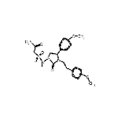 COc1ccc(CCN2C(=O)N(NS(=O)(=O)CC(N)=O)CC2c2ccc(OC)cc2)cc1